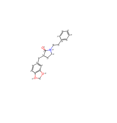 O=C1C(Cc2ccc3c(c2)OCO3)CCN1CCc1ccccc1